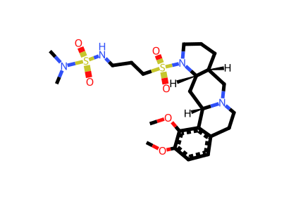 COc1ccc2c(c1OC)[C@@H]1C[C@H]3[C@H](CCCN3S(=O)(=O)CCCNS(=O)(=O)N(C)C)CN1CC2